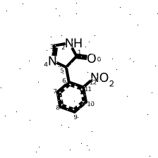 O=C1NC=NC1c1ccccc1[N+](=O)[O-]